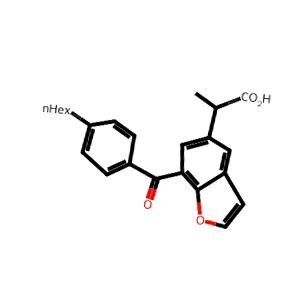 CCCCCCc1ccc(C(=O)c2cc(C(C)C(=O)O)cc3ccoc23)cc1